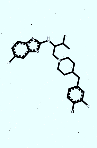 CC(C)C(CN1CCC(Cc2ccc(Cl)c(Cl)c2)CC1)Nc1nc2ccc(Cl)cc2o1